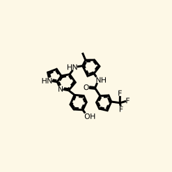 Cc1ccc(NC(=O)c2cccc(C(F)(F)F)c2)cc1Nc1cc(-c2ccc(O)cc2)nc2[nH]ccc12